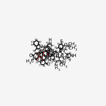 CNC(C(=O)N(C)[C@@H](Cc1c[nH]cn1)C(=O)N[C@@H](Cc1ccc(OC(C)(C)C)c(F)c1)C(=O)N1CCC[C@H]1C(=O)N(C)[C@@H](Cc1c[nH]cn1)C(=O)N1CCC[C@H]1C(=O)N[C@@H](Cc1c[nH]c2ccccc12)C(=O)N(C)[C@@H](Cc1ccc(Cl)cc1)C(=O)NC(CC(=O)O)C(=O)N1CCC[C@H]1C(=O)O)C(C)C